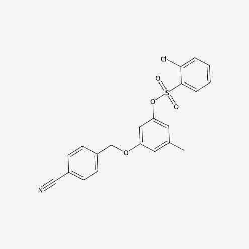 Cc1cc(OCc2ccc(C#N)cc2)cc(OS(=O)(=O)c2ccccc2Cl)c1